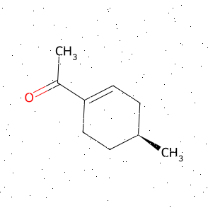 CC(=O)C1=CC[C@@H](C)CC1